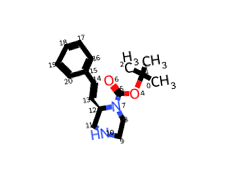 CC(C)(C)OC(=O)N1CCNC[C@H]1C=Cc1ccccc1